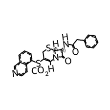 O=C(Cc1ccccc1)N[C@@H]1C(=O)N2C(C(=O)O)=C(Sc3cccc4cnccc34)CS[C@@H]12